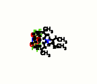 CCCC[N+](CCCC)(CCCC)CCCC.O=S(=O)([N-]S(=O)(=O)C(F)(F)F)C(F)(F)F